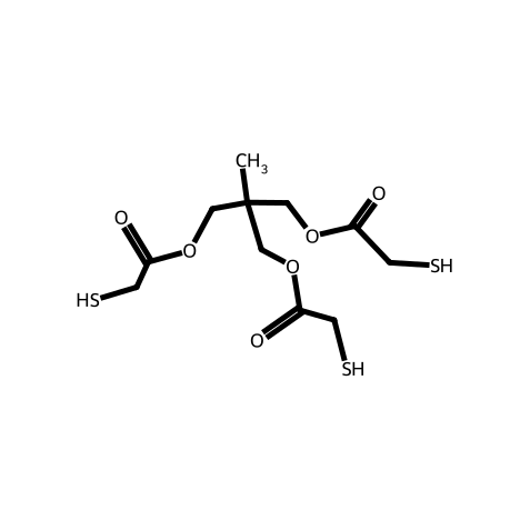 CC(COC(=O)CS)(COC(=O)CS)COC(=O)CS